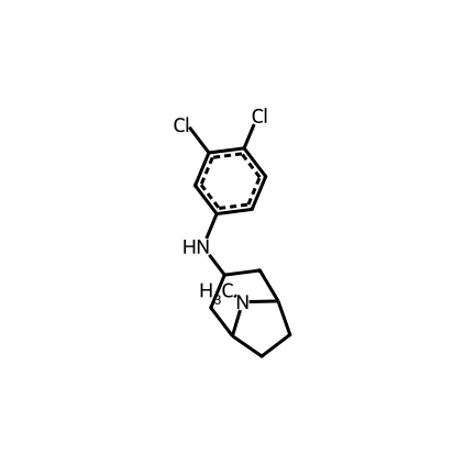 CN1C2CCC1CC(Nc1ccc(Cl)c(Cl)c1)C2